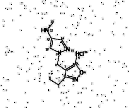 CCc1noc(C)c1Cn1cc(NC)cn1.Cl